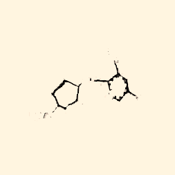 NC1CCC(Oc2ncc(Cl)cc2Cl)CC1